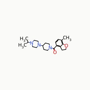 Cc1ccc(C(=O)N2CCC(N3CCN(C(C)C)CC3)CC2)c2c1OCC2